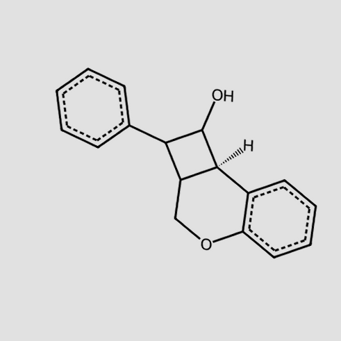 OC1C(c2ccccc2)C2COc3ccccc3[C@H]12